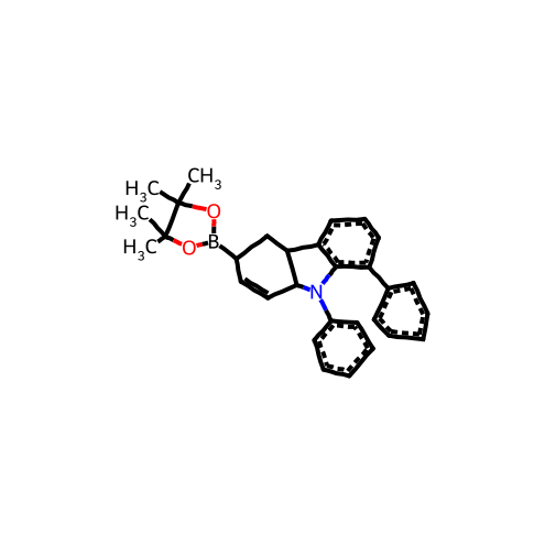 CC1(C)OB(C2C=CC3C(C2)c2cccc(-c4ccccc4)c2N3c2ccccc2)OC1(C)C